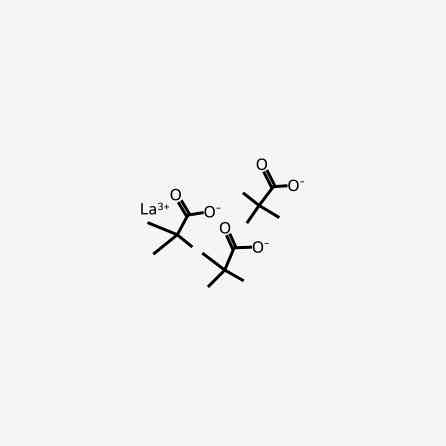 CC(C)(C)C(=O)[O-].CC(C)(C)C(=O)[O-].CC(C)(C)C(=O)[O-].[La+3]